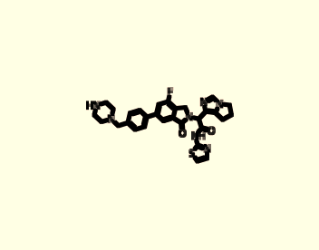 O=C(Nc1nccs1)C(c1ncn2c1CCC2)N1Cc2c(F)cc(-c3ccc(CN4CCNCC4)cc3)cc2C1=O